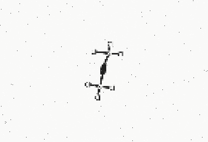 Cl[Si](Cl)(Cl)C#C[Si](Cl)(Cl)Cl